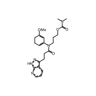 COC1=CC(N(CCCOC(=O)N(C)C)C(=O)CCc2n[nH]c3ncccc23)=CCC1